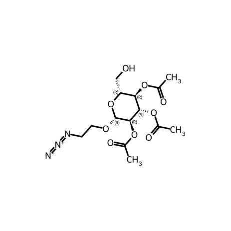 CC(=O)O[C@@H]1[C@@H](OC(C)=O)[C@H](OCCN=[N+]=[N-])O[C@H](CO)[C@H]1OC(C)=O